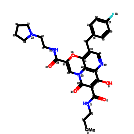 COCCNC(=O)c1c(O)c2ncc(Cc3ccc(F)cc3)c3c2n(c1=O)C=C(C(=O)NCCN1CCCC1)O3